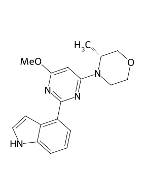 COc1cc(N2CCOC[C@H]2C)nc(-c2cccc3[nH]ccc23)n1